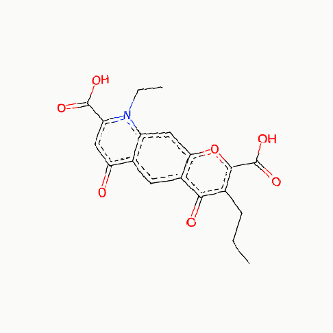 CCCc1c(C(=O)O)oc2cc3c(cc2c1=O)c(=O)cc(C(=O)O)n3CC